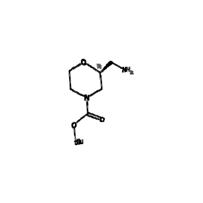 CC(C)(C)OC(=O)N1CCO[C@@H](CN)C1